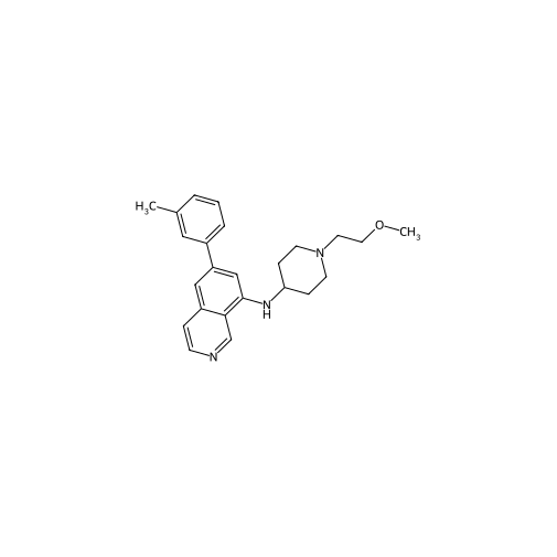 COCCN1CCC(Nc2cc(-c3cccc(C)c3)cc3ccncc23)CC1